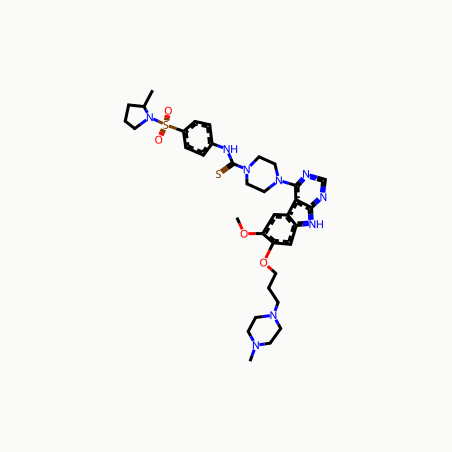 COc1cc2c(cc1OCCCN1CCN(C)CC1)[nH]c1ncnc(N3CCN(C(=S)Nc4ccc(S(=O)(=O)N5CCCC5C)cc4)CC3)c12